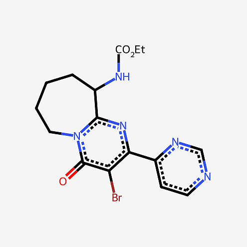 CCOC(=O)NC1CCCCn2c1nc(-c1ccncn1)c(Br)c2=O